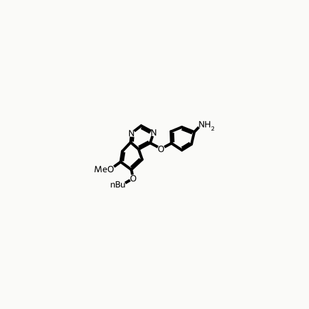 CCCCOc1cc2c(Oc3ccc(N)cc3)ncnc2cc1OC